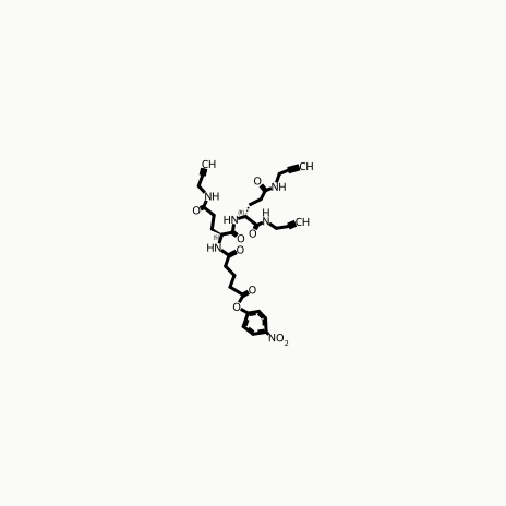 C#CCNC(=O)CC[C@H](NC(=O)CCCC(=O)Oc1ccc([N+](=O)[O-])cc1)C(=O)N[C@H](CCC(=O)NCC#C)C(=O)NCC#C